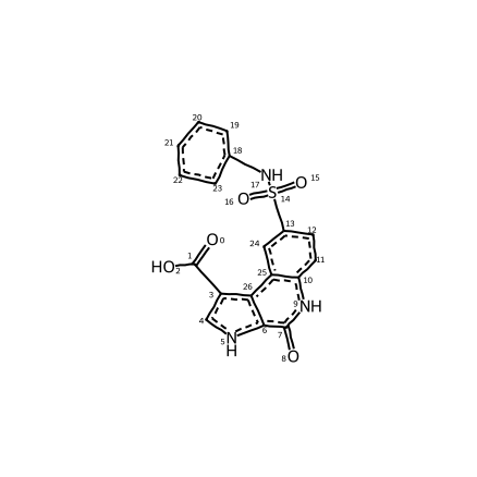 O=C(O)c1c[nH]c2c(=O)[nH]c3ccc(S(=O)(=O)Nc4ccccc4)cc3c12